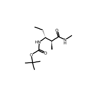 CC[C@@H](NC(=O)OC(C)(C)C)[C@H](C)C(=O)NC